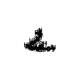 Cc1ncsc1-c1ccc([C@H](C)NC(=O)[C@@H]2C[C@@H](O)CN2C(=O)C(NC(=O)CN2CCN(CC3(CNc4ccc(C(=O)NC5C(C)(C)C(Oc6ccc(C#N)c(C(F)(F)F)c6)C5(C)C)cc4)COC3)CC2)C(C)(C)C)cc1